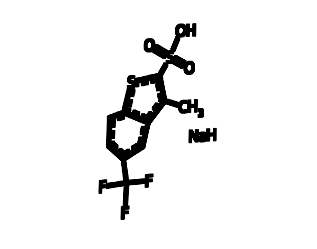 Cc1c(S(=O)(=O)O)sc2ccc(C(F)(F)F)cc12.[NaH]